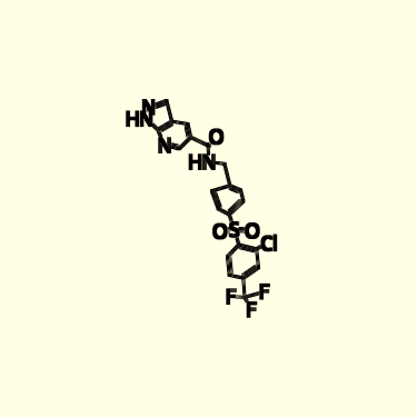 O=C(NCc1ccc(S(=O)(=O)c2ccc(C(F)(F)F)cc2Cl)cc1)c1cnc2[nH]ncc2c1